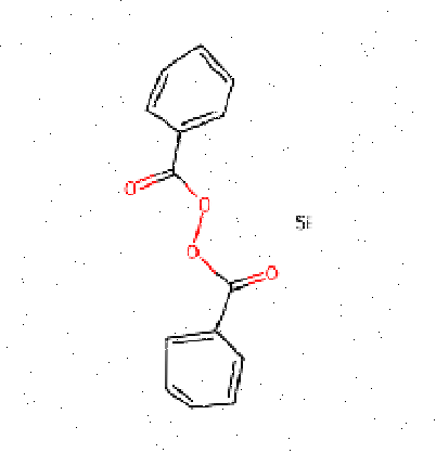 O=C(OOC(=O)c1ccccc1)c1ccccc1.[Si]